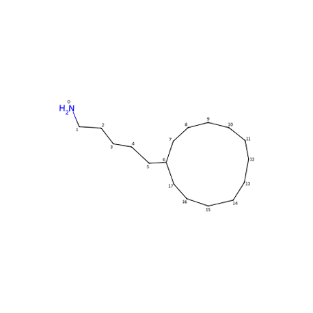 NCCCCCC1CCCCCCCCCCC1